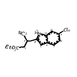 CCOC(=O)CC(C#N)c1cc2ccc(Cl)cc2[nH]1